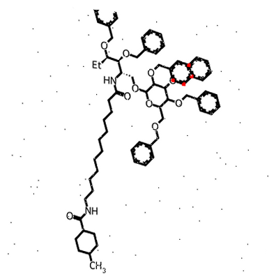 CC[C@@H](OCc1ccccc1)[C@@H](OCc1ccccc1)[C@H](COC1OC(COCc2ccccc2)C(OCc2ccccc2)C(OCc2ccccc2)C1OCc1ccccc1)NC(=O)CCCCCCCCCCCNC(=O)C1CCC(C)CC1